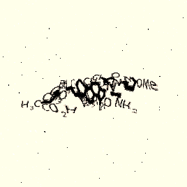 CC[C@H](CC[C@@]1(C)[C@H](C)CC[C@]2(C)[C@@H]1CC[C@@H]1C3=C(C(C)C)C(=O)C[C@]3(c3c(Cl)c(=O)n(-c4ccc(OC)cn4)n3CCN)CC[C@]12C)OC(=O)CC(C)(C)C(=O)O